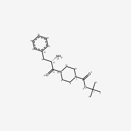 CC(C)(C)OC(=O)N1CCN(C(=O)[C@@H](N)Cc2ccccc2)CC1